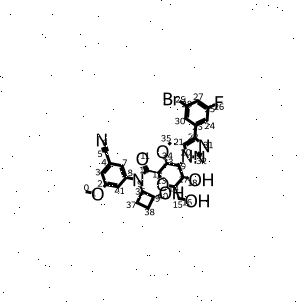 COc1cc(C#N)cc(N(C(=O)[C@@H]2O[C@H](CO)[C@H](O)[C@H](n3cc(-c4cc(F)cc(Br)c4)nn3)[C@H]2OC)[C@@H]2CC[C@H]2O)c1